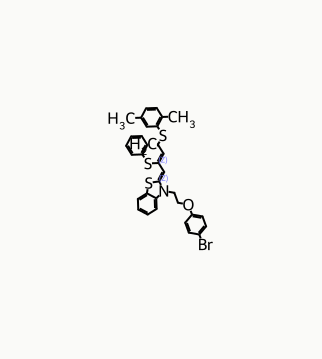 C=C(/C=C(/C=C1\Sc2ccccc2N1CCOc1ccc(Br)cc1)Sc1ccccc1)Sc1cc(C)ccc1C